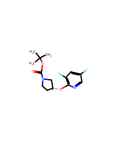 CC(C)(C)OC(=O)N1CC[C@@H](Oc2ncc(F)cc2F)C1